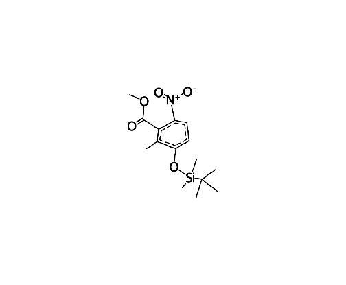 COC(=O)c1c([N+](=O)[O-])ccc(O[Si](C)(C)C(C)(C)C)c1C